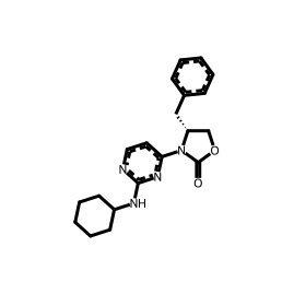 O=C1OC[C@@H](Cc2ccccc2)N1c1ccnc(NC2CCCCC2)n1